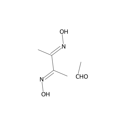 CC(=N\O)/C(C)=N/O.CC=O